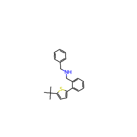 CC(C)(C)c1ccc(-c2ccccc2CNCc2ccccc2)s1